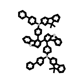 CC1(C)c2ccccc2-c2ccc(N(c3ccc(-c4ccccc4)cc3)c3ccc(-c4c(-c5ccc6oc7ccccc7c6c5-c5ccc(N(c6ccc(-c7ccccc7)cc6)c6ccc7c(c6)C(C)(C)c6ccccc6-7)cc5)ccc5oc6ccccc6c45)cc3)cc21